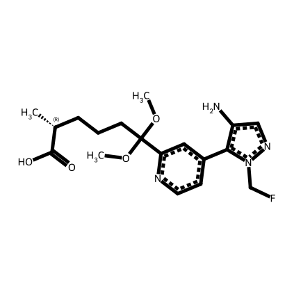 COC(CCC[C@@H](C)C(=O)O)(OC)c1cc(-c2c(N)cnn2CF)ccn1